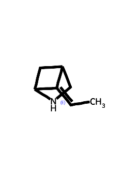 C/C=C1\C2CNC1C2